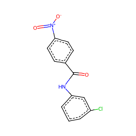 O=C(Nc1cccc(Cl)c1)c1ccc([N+](=O)[O-])cc1